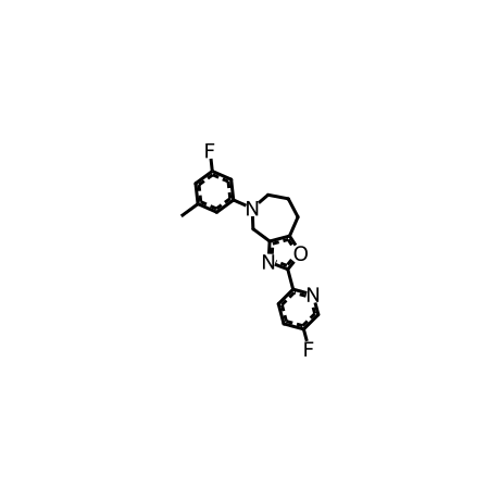 Cc1cc(F)cc(N2CCCc3oc(-c4ccc(F)cn4)nc3C2)c1